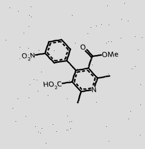 COC(=O)c1c(C)nc(C)c(C(=O)O)c1-c1cccc([N+](=O)[O-])c1